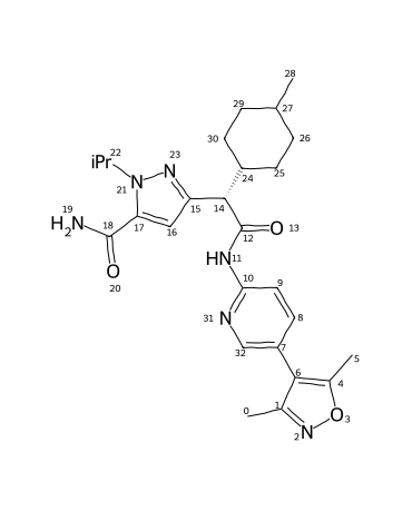 Cc1noc(C)c1-c1ccc(NC(=O)[C@H](c2cc(C(N)=O)n(C(C)C)n2)C2CCC(C)CC2)nc1